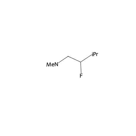 CNCC(F)C(C)C